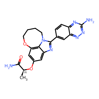 C[C@H](Oc1cc2c3c(c1)nc(-c1ccc4nc(N)nnc4c1)n3CCCCO2)C(N)=O